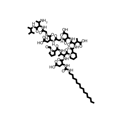 CCCCCCCCCCCCCCNC(=O)NC(CC(=O)O)C(=O)NC(C(=O)N1CCCCC1C(=O)NC(C(=O)NC(CC(=O)O)C(=O)NCC(=O)NC(CC(=O)O)C(=O)NCC(=O)NC(C(=O)NC(C)C(C)C)C(C)N)C(C)C(=O)O)C(C)NC(=O)C1CCCN1C=O